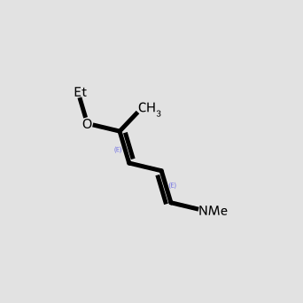 CCO/C(C)=C/C=C/NC